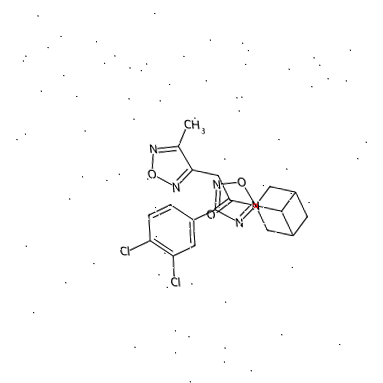 Cc1nonc1CC(=O)N1CC2CC(C1)C2c1nc(-c2ccc(Cl)c(Cl)c2)no1